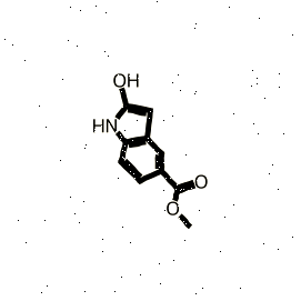 COC(=O)c1ccc2[nH]c(O)cc2c1